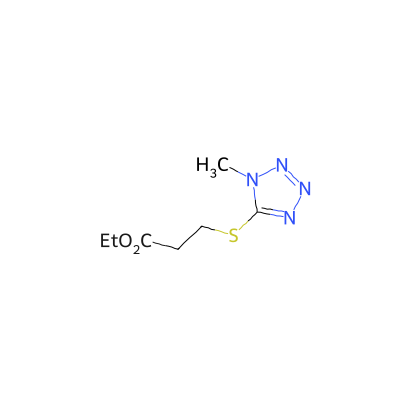 CCOC(=O)CCSc1nnnn1C